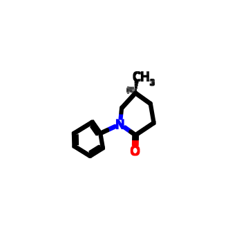 C[C@@H]1CCC(=O)N(c2ccccc2)C1